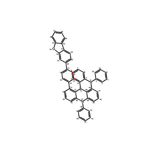 c1ccc(N2c3ccccc3B3c4c(-c5ccc(-c6ccc7c(c6)oc6ccccc67)cc5)cccc4N(c4ccccc4)c4cccc2c43)cc1